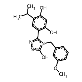 COc1cccc(Cn2c(O)nnc2-c2cc(C(C)C)c(O)cc2O)c1